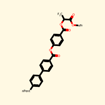 CCCCCc1ccc(-c2ccc(C(=O)Oc3ccc(C(=O)OC(C(=O)OCCC)C(F)(F)F)cc3)cc2)cc1